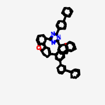 C1=CC(c2ccccc2)=CC(c2cc(C3=Cc4c(oc5cccc(-c6nc(-c7ccccc7)nc(-c7ccc(-c8ccccc8)cc7)n6)c45)CC3)cc(-c3ccccc3)c2)C1